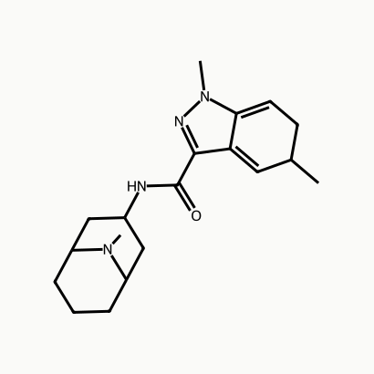 CC1C=c2c(C(=O)NC3CC4CCCC(C3)N4C)nn(C)c2=CC1